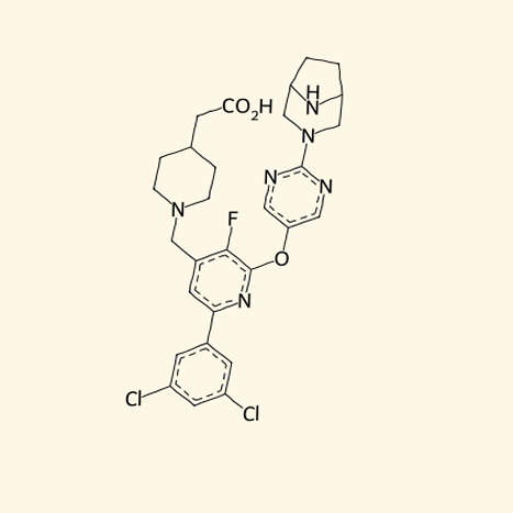 O=C(O)CC1CCN(Cc2cc(-c3cc(Cl)cc(Cl)c3)nc(Oc3cnc(N4CC5CCC(C4)N5)nc3)c2F)CC1